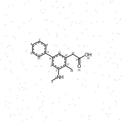 CNc1cc(-c2ccccc2)cc(CC(=O)O)c1C